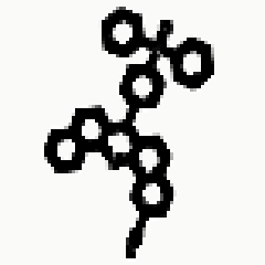 N#Cc1ccc2ccc3c(-c4ccc(P(=O)(c5ccccc5)c5ccccc5)cc4)c4ccc5ccccc5c4nc3c2c1